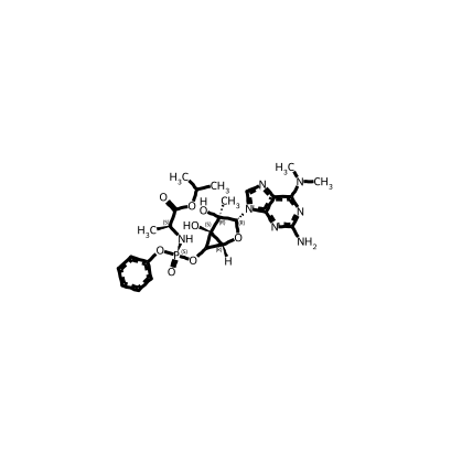 CC(C)OC(=O)[C@H](C)N[P@@](=O)(Oc1ccccc1)OC1[C@H]2O[C@@H](n3cnc4c(N(C)C)nc(N)nc43)[C@](C)(O)[C@@]12O